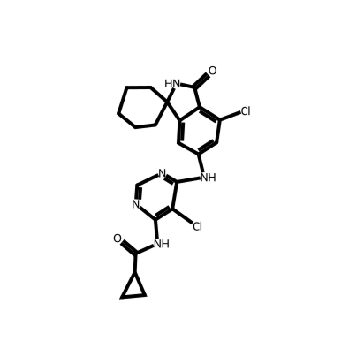 O=C1NC2(CCCCC2)c2cc(Nc3ncnc(NC(=O)C4CC4)c3Cl)cc(Cl)c21